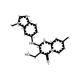 Cc1ccn2c(=O)c(CO)c(Nc3ccc4ncn(C)c4c3)nc2c1